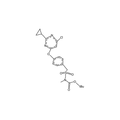 CN(C(=O)OC(C)(C)C)S(=O)(=O)Cc1ccc(Oc2cc(Cl)nc(C3CC3)n2)cc1